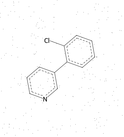 Clc1cc[c]cc1-c1cccnc1